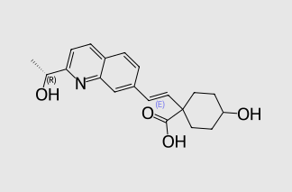 C[C@@H](O)c1ccc2ccc(/C=C/C3(C(=O)O)CCC(O)CC3)cc2n1